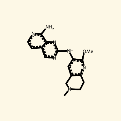 COc1nc2c(cc1Nc1ncc3ccnc(N)c3n1)CN(C)CC2